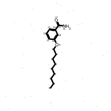 CCCCCCCCCOc1cccc(C(N)=O)c1